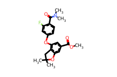 COC(=O)c1cc(Oc2ccc(C(=O)N(C)C)c(F)c2)c2c(c1)OC(C)(C)C2